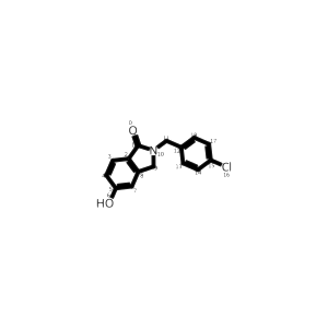 O=C1c2ccc(O)cc2CN1Cc1ccc(Cl)cc1